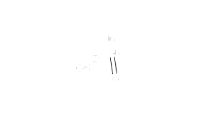 [Ge].[In].[O]=[Sn].[Zn]